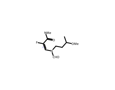 CNC(=O)/C(F)=C\N(C=O)CCC(C)OC